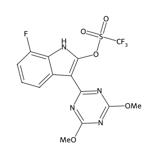 COc1nc(OC)nc(-c2c(OS(=O)(=O)C(F)(F)F)[nH]c3c(F)cccc23)n1